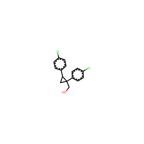 OCC1(c2ccc(Cl)cc2)CC1c1ccc(Cl)cc1